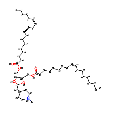 CCCCC/C=C\C/C=C\CCCCCCCC(=O)OCC1OC(CC2CCN(C)CC2)OC1COC(=O)CCCCCCC/C=C\CCCCCCCC